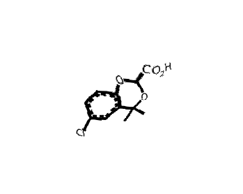 CC1(C)OC(C(=O)O)Oc2ccc(Cl)cc21